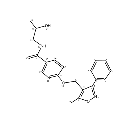 Cc1onc(-c2ccccc2)c1COc1ccc(C(=O)NCC(C)O)cn1